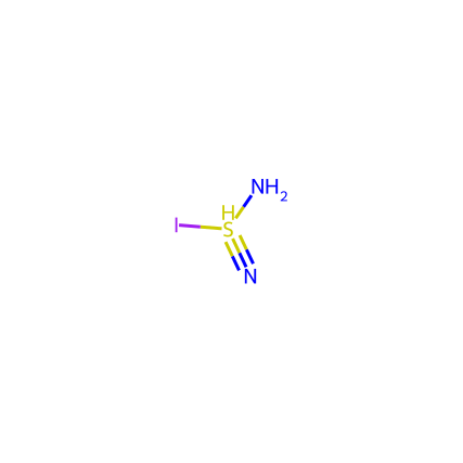 N#[SH](N)I